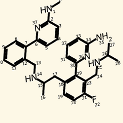 CNc1cccc(-c2ccccc2CNC(C)Cc2ccc(F)c(CNC(C)C)c2-c2cccc(N)n2)n1